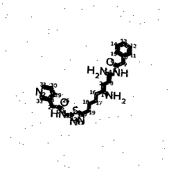 N/C(=C\C=C(/N)NC(=O)Cc1ccccc1)CCCCc1nnc(NC(=O)Cc2cccnc2)s1